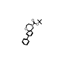 CC(C)(C)OC(=O)N1CCOc2cc(-c3ccccc3)ccc2C1